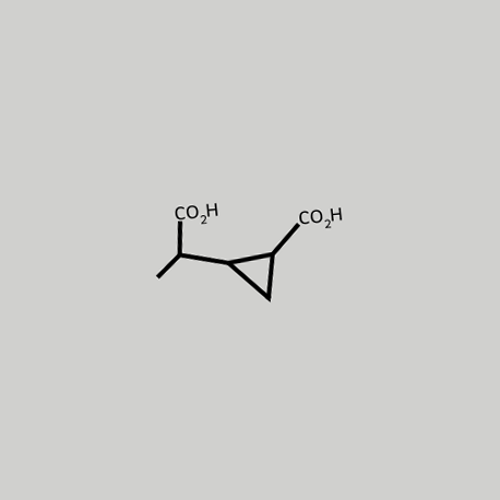 CC(C(=O)O)C1CC1C(=O)O